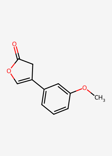 COc1cccc(C2=COC(=O)C2)c1